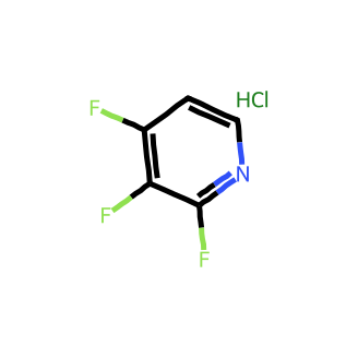 Cl.Fc1ccnc(F)c1F